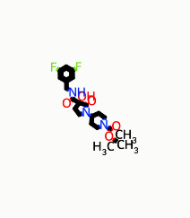 CC(C)(C)OC(=O)N1CCC(N2CC[C@@](O)(C(=O)NCc3cc(F)cc(F)c3)C2=O)CC1